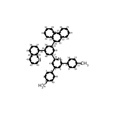 Cc1ccc(-c2cc(-c3ccc(C)cc3)nc(-c3cc(-c4cc5ccccc5c5ccccc45)cc(-c4cccc5cccnc45)c3)c2)cc1